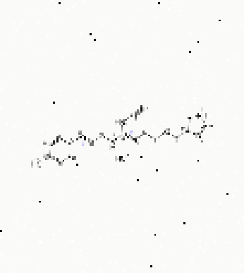 Cl.N#CN/C(=N\CCSCc1c[nH]cn1)NC/C=C/c1ccc(O)cc1